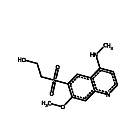 CNc1ccnc2cc(OC)c(S(=O)(=O)CCO)cc12